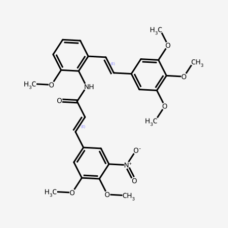 COc1cccc(/C=C/c2cc(OC)c(OC)c(OC)c2)c1NC(=O)/C=C/c1cc(OC)c(OC)c([N+](=O)[O-])c1